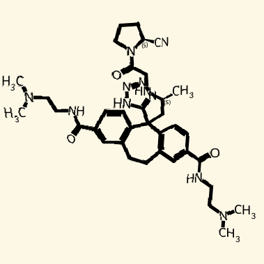 C[C@@H](CC1(c2nnn[nH]2)c2ccc(C(=O)NCCN(C)C)cc2CCc2cc(C(=O)NCCN(C)C)ccc21)NCC(=O)N1CCC[C@H]1C#N